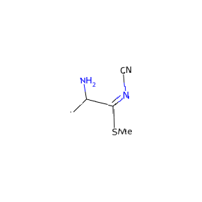 [CH2]C(N)C(=NC#N)SC